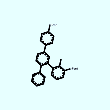 CCCCCc1ccc(-c2ccc(-c3ccccc3)c(-c3cccc(CCCCC)c3C)c2)cc1